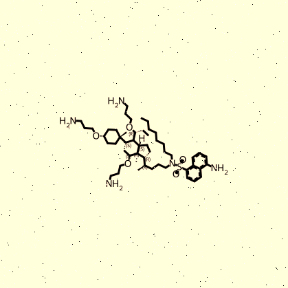 CCCCCCCCN(CCC[C@@H](C)[C@H]1CC[C@H]2C([C@@H](CC)OCCCN)[C@@H]([C@]3(C)CC[C@H](OCCCN)CC3)C[C@H](OCCCN)[C@]12C)S(=O)(=O)c1cccc2c(N)cccc12